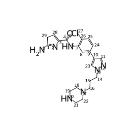 NC1=NC(C(=O)Nc2cc(-c3cnn(CCCN4CCNCC4)c3)ccc2Cl)=CC1